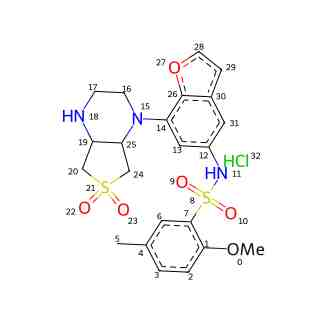 COc1ccc(C)cc1S(=O)(=O)Nc1cc(N2CCNC3CS(=O)(=O)CC32)c2occc2c1.Cl